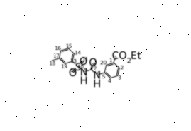 CCOC(=O)c1cccc(NC(=O)NS(=O)(=O)c2cccc(C)c2)c1